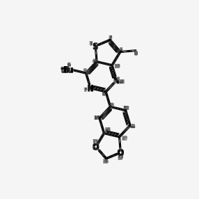 Cc1csc2c(C(C)(C)C)nc(-c3ccc4c(c3)OCO4)nc12